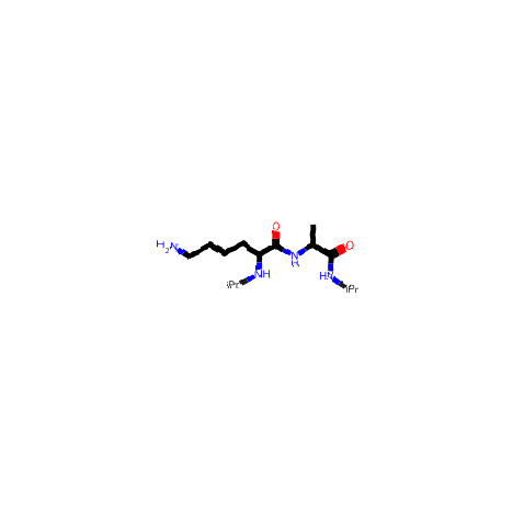 CC(C)NC(=O)C(C)NC(=O)C(CCCCN)NC(C)C